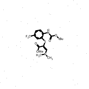 COC(=O)/C(=C\N(C)C)Sc1cc(C(F)(F)F)ccc1NC(=O)OC(C)(C)C